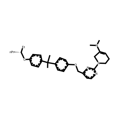 CCC[C@H](CC)Oc1ccc(C(C)(C)c2ccc(OCc3ccnc(N4CCC=C(N(C)C)C4)n3)cc2)cc1